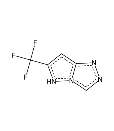 FC(F)(F)c1cc2nncn2[nH]1